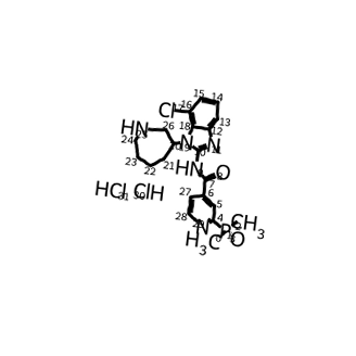 CP(C)(=O)c1cc(C(=O)Nc2nc3cccc(Cl)c3n2C2CCCCNC2)ccn1.Cl.Cl